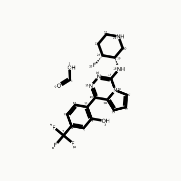 O=CO.Oc1cc(C(F)(F)F)ccc1-c1nnc(N[C@H]2CNCC[C@H]2F)n2cccc12